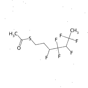 CC(=O)SCCC(F)C(F)(F)C(F)C(C)(F)F